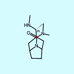 CN[C@H](C)C1CC2CCC(C1)N2C(=O)N(C)C